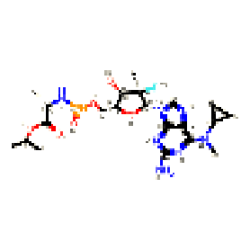 CC(C)OC(=O)[C@H](C)N[PH](=O)OC[C@H]1O[C@@H](n2cnc3c(N(C)C4CC4)nc(N)nc32)[C@](C)(F)[C@@H]1O